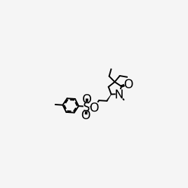 CCC1(CC)C[C@H](CCOS(=O)(=O)c2ccc(C)cc2)N(C)C1=O